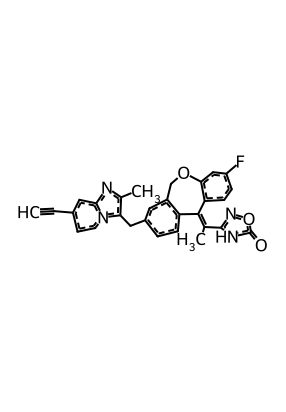 C#Cc1ccn2c(Cc3ccc4c(c3)COc3cc(F)ccc3C4=C(C)c3noc(=O)[nH]3)c(C)nc2c1